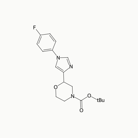 CC(C)(C)OC(=O)N1CCOC(c2cn(-c3ccc(F)cc3)cn2)C1